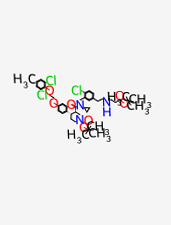 Cc1cc(Cl)c(OCCOc2ccc([C@H]3CCN(C(=O)OC(C)(C)C)C[C@@H]3C(=O)N(Cc3cc(CCNCCC(=O)OC(C)(C)C)ccc3Cl)C3CC3)cc2)c(Cl)c1